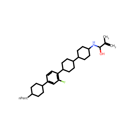 C=C(C)C(O)NC1CCC(C2CCC(c3ccc(C4CCC(CCCCC)CC4)cc3F)CC2)CC1